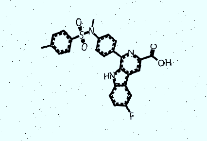 Cc1ccc(S(=O)(=O)N(C)c2ccc(-c3nc(C(=O)O)cc4c3[nH]c3ccc(F)cc34)cc2)cc1